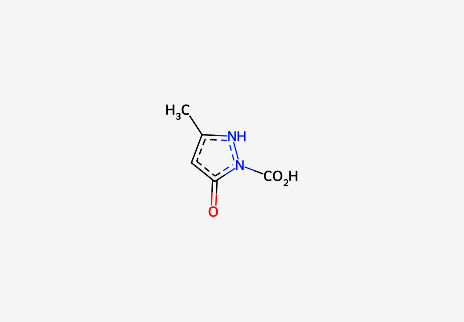 Cc1cc(=O)n(C(=O)O)[nH]1